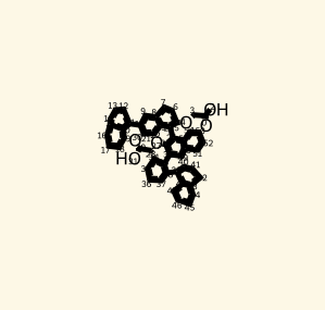 O=C(O)COc1ccc2cc(-c3cccc4ccccc34)ccc2c1-c1c(OCC(=O)O)c(-c2ccccc2-c2cccc3ccccc23)cc2ccccc12